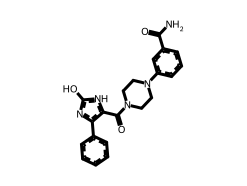 NC(=O)c1cccc(N2CCN(C(=O)c3[nH]c(O)nc3-c3ccccc3)CC2)c1